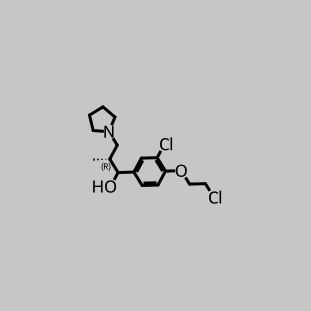 C[C@H](CN1CCCC1)C(O)c1ccc(OCCCl)c(Cl)c1